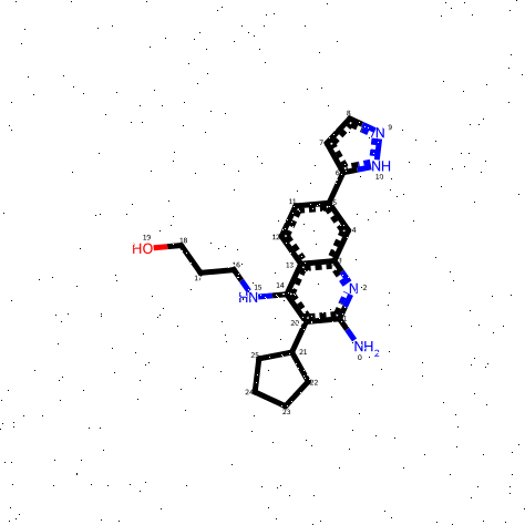 Nc1nc2cc(-c3ccn[nH]3)ccc2c(NCCCO)c1C1CCCC1